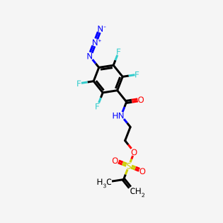 C=C(C)S(=O)(=O)OCCNC(=O)c1c(F)c(F)c(N=[N+]=[N-])c(F)c1F